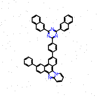 c1ccc(-c2ccc3c(c2)c2cc(-c4ccc(-c5nc(-c6ccc7ccccc7c6)nc(-c6ccc7ccccc7c6)n5)cc4)ccc2c2c3nc3ccccn32)cc1